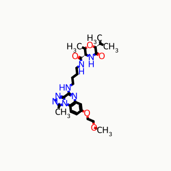 COCCOc1ccc2c(c1)nc(NCCCCNC(=O)[C@H]1NC(=O)[C@@H](C(C)C)OC1C)c1nnc(C)n12